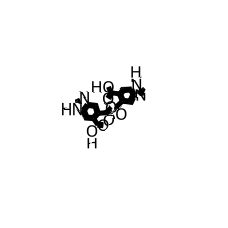 O=C(O)c1cc2[nH]cnc2cc1C(=O)OC(=O)c1cc2nc[nH]c2cc1C(=O)O